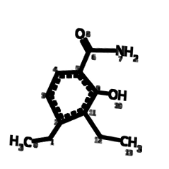 CCc1ccc(C(N)=O)c(O)c1CC